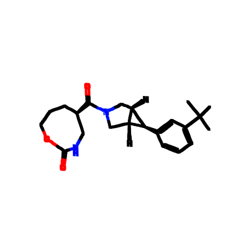 CC(C)(C)c1cccc([C@H]2[C@@H]3CN(C(=O)[C@@H]4CCCOC(=O)NC4)C[C@@H]32)c1